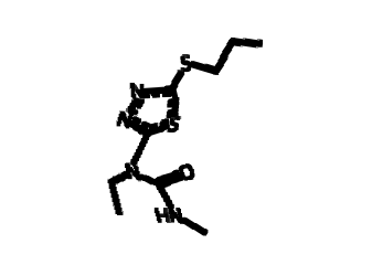 CCCSc1nnc(N(CC)C(=O)NC)s1